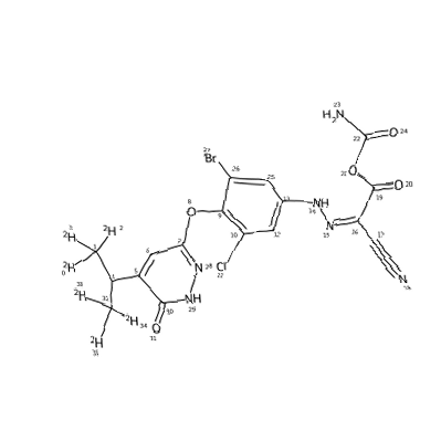 [2H]C([2H])([2H])C(c1cc(Oc2c(Cl)cc(NN=C(C#N)C(=O)OC(N)=O)cc2Br)n[nH]c1=O)C([2H])([2H])[2H]